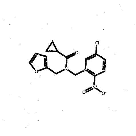 O=C(C1CC1)N(Cc1ccco1)Cc1cc(Cl)ccc1[N+](=O)[O-]